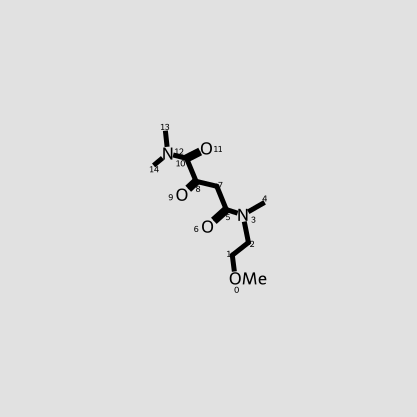 COCCN(C)C(=O)CC(=O)C(=O)N(C)C